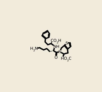 NCCCC[C@H](N[C@@H](CCc1ccccc1)C(=O)O)C(=O)N1Cc2sccc2CC1C(=O)O